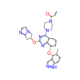 C=CC(=O)N1CCN(c2nc(O[C@H]3Cc4nccn4C3)nc3c(Oc4c(C)ccc5[nH]ncc45)cccc23)CC1